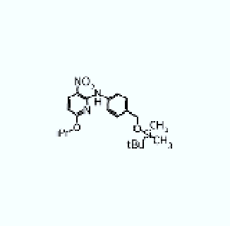 CC(C)Oc1ccc([N+](=O)[O-])c(Nc2ccc(CO[Si](C)(C)C(C)(C)C)cc2)n1